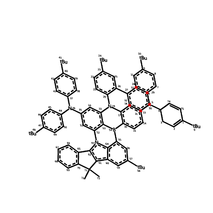 CC(C)(C)C1=CCC(N(c2ccc(C(C)(C)C)cc2)c2ccc3c(c2)N(c2ccc(C(C)(C)C)cc2-c2ccccc2)c2cc(N(c4ccc(C(C)(C)C)cc4)c4ccc(C(C)(C)C)cc4)cc4c2B3c2cc(C(C)(C)C)cc3c5c(n-4c23)-c2ccccc2C5(C)C)C=C1